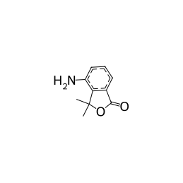 CC1(C)OC(=O)c2cccc(N)c21